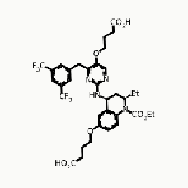 CCOC(=O)N1c2ccc(OCCCC(=O)O)cc2[C@@H](Nc2ncc(OCCCC(=O)O)c(Cc3cc(C(F)(F)F)cc(C(F)(F)F)c3)n2)C[C@H]1CC